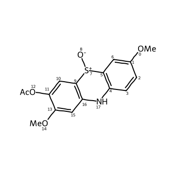 COc1ccc2c(c1)[S+]([O-])c1cc(OC(C)=O)c(OC)cc1N2